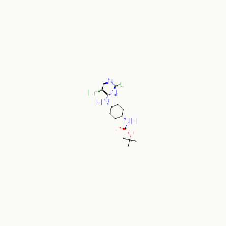 CC(C)(C)OC(=O)N[C@H]1CC[C@H](Nc2nc(Cl)ncc2Br)CC1